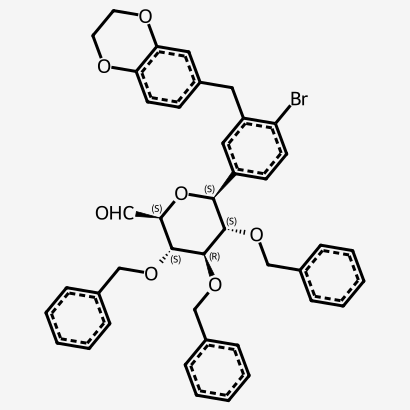 O=C[C@H]1O[C@@H](c2ccc(Br)c(Cc3ccc4c(c3)OCCO4)c2)[C@H](OCc2ccccc2)[C@@H](OCc2ccccc2)[C@@H]1OCc1ccccc1